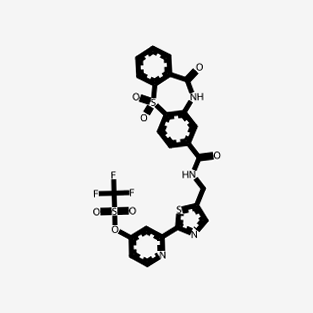 O=C(NCc1cnc(-c2cc(OS(=O)(=O)C(F)(F)F)ccn2)s1)c1ccc2c(c1)NC(=O)c1ccccc1S2(=O)=O